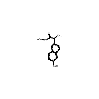 CCCCOC(=O)C(C)c1ccc2cc(SC)ccc2c1